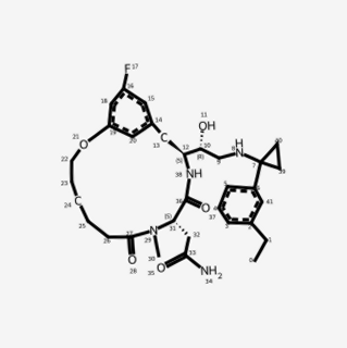 CCc1cccc(C2(NC[C@@H](O)[C@@H]3Cc4cc(F)cc(c4)OCCCCCC(=O)N(C)[C@@H](CC(N)=O)C(=O)N3)CC2)c1